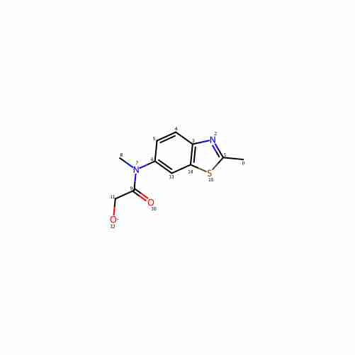 Cc1nc2ccc(N(C)C(=O)C[O])cc2s1